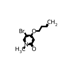 C=CCCOc1cc(=O)n(C)cc1Br